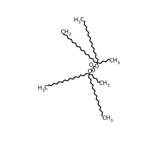 CCCCCCCCCCCCCCCCC(CCCCC)(CCCCCCCCCCCCCCCC)OOC(=O)OC(CCCCC)(CCCCCCCCCCCCCCCC)CCCCCCCCCCCCCCCC